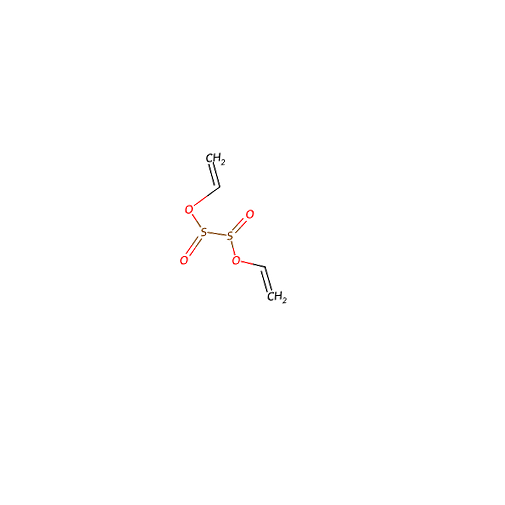 C=COS(=O)S(=O)OC=C